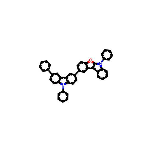 c1ccc(-c2ccc3c(c2)c2cc(-c4ccc5oc6c(c5c4)c4ccccc4n6-c4ccccc4)ccc2n3-c2ccccc2)cc1